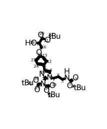 CC(C)(C)OC(=O)NCCCn1cc(-c2ccc(OCC(O)C(=O)OC(C)(C)C)cc2)nc1N(C(=O)OC(C)(C)C)C(=O)OC(C)(C)C